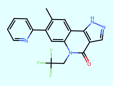 Cc1cc2c3[nH]ncc3c(=O)n(CC(F)(F)F)c2cc1-c1ccccn1